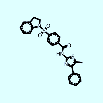 Cc1sc(NC(=O)c2ccc(S(=O)(=O)N3CCc4ccccc43)cc2)nc1-c1ccccc1